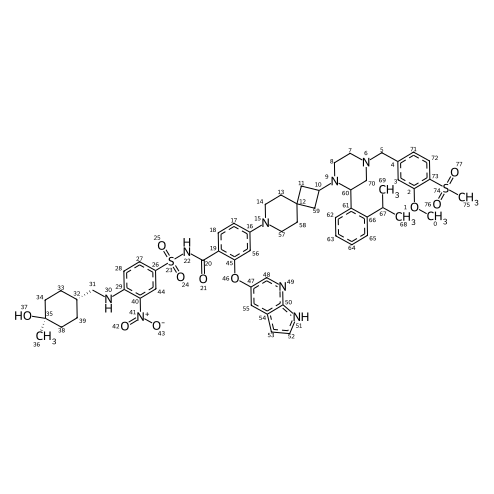 COc1cc(CN2CCN(C3CC4(CCN(c5ccc(C(=O)NS(=O)(=O)c6ccc(NC[C@H]7CC[C@](C)(O)CC7)c([N+](=O)[O-])c6)c(Oc6cnc7[nH]ccc7c6)c5)CC4)C3)C(c3ccccc3C(C)C)C2)ccc1S(C)(=O)=O